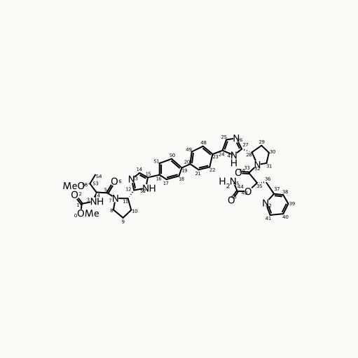 COC(=O)N[C@H](C(=O)N1CCC[C@H]1c1ncc(-c2ccc(-c3ccc(-c4cnc([C@@H]5CCCN5C(=O)[C@H](Cc5ccccn5)OC(N)=O)[nH]4)cc3)cc2)[nH]1)[C@@H](C)OC